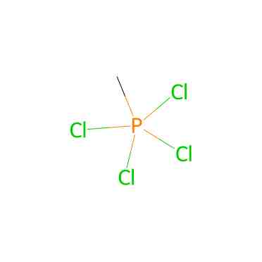 CP(Cl)(Cl)(Cl)Cl